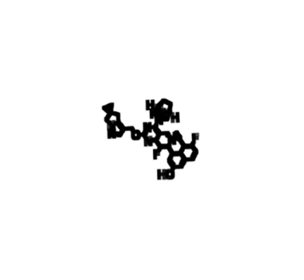 C#Cc1c(F)ccc2cc(O)cc(-c3ncc4c(N5C[C@H]6CC[C@@H](C5)N6)nc(OCc5cnn6c5CC5(CC5)C6)nc4c3F)c12